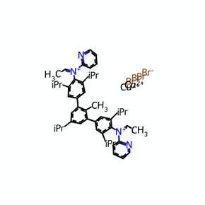 CC=[N+](c1ccccn1)c1c(C(C)C)cc(-c2cc(C(C)C)cc(-c3cc(C(C)C)c([N+](=CC)c4ccccn4)c(C(C)C)c3)c2C)cc1C(C)C.[Br-].[Br-].[Br-].[Br-].[Cu+2].[Cu+2]